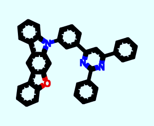 c1ccc(-c2cc(-c3cccc(-n4c5ccccc5c5cc6c(cc54)oc4ccccc46)c3)nc(-c3ccccc3)n2)cc1